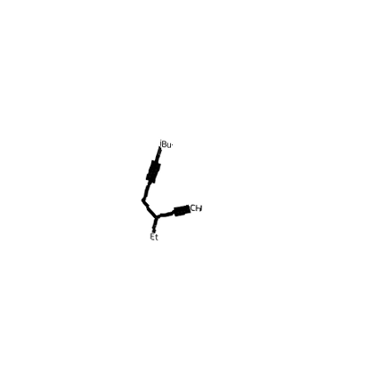 C#CC(CC)CC#C[C](C)CC